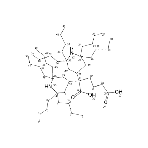 CCCCC1(CCCC)CC(C(CCCC(=O)O)(C(=O)O)C2CC(CCCC)(CCCC)NC(CCCC)(CCCC)C2)CC(CCCC)(CCCC)N1